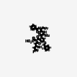 CC[C@H](C)[C@H](NC(=O)[C@H](CC(C)C)NC(=O)c1cnccn1)C(=O)N1C[C@H](OCc2ccccc2)C[C@H]1C(=O)N(C(=O)C[C@H](N)CC(F)F)C(=O)C(=O)O